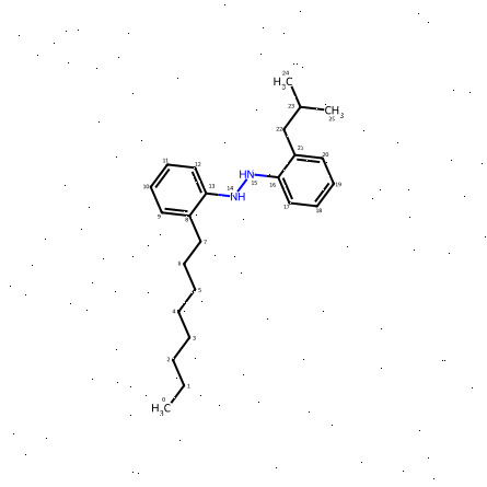 CCCCCCCCc1ccccc1NNc1ccccc1CC(C)C